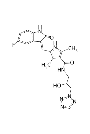 Cc1[nH]c(C=C2C(=O)Nc3ccc(F)cc32)c(C)c1C(=O)NCC(O)Cn1ncnn1